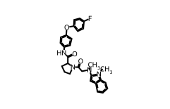 CN(CC(=O)N1CCCC1C(=O)Nc1ccc(Oc2ccc(F)cc2)cc1)c1cc2ccccc2n1C